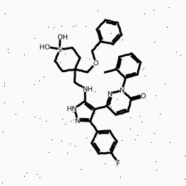 Cc1ccccc1-n1nc(-c2c(-c3ccc(F)cc3)n[nH]c2NCC2(COCc3ccccc3)CCS(O)(O)CC2)ccc1=O